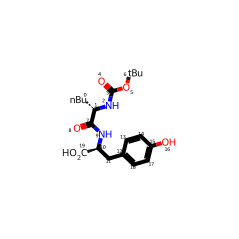 CCCC[C@H](NC(=O)OC(C)(C)C)C(=O)N[C@@H](Cc1ccc(O)cc1)C(=O)O